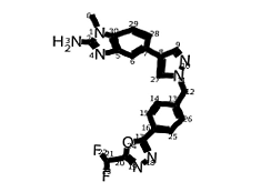 Cn1c(N)nc2cc(-c3cnn(Cc4ccc(-c5nnc(C(F)F)o5)cc4)c3)ccc21